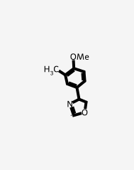 COc1ccc(C2CO[C]=N2)cc1C